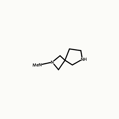 CNN1CC2(CCNC2)C1